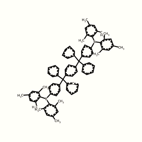 Cc1cc(C)c(B(c2ccc(C(c3ccccc3)(c3ccccc3)c3ccc(C(c4ccccc4)(c4ccccc4)c4ccc(B(c5c(C)cc(C)cc5C)c5c(C)cc(C)cc5C)cc4)cc3)cc2)c2c(C)cc(C)cc2C)c(C)c1